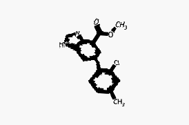 COC(=O)c1cc(-c2ccc(C)cc2Cl)cc2[nH]cnc12